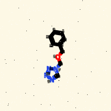 c1ccc(COCn2cnnn2)cc1